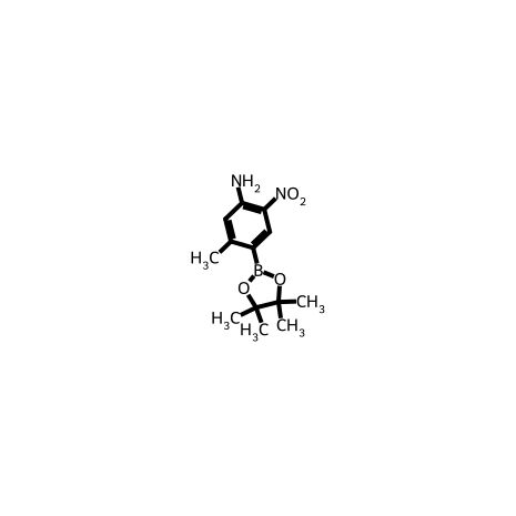 Cc1cc(N)c([N+](=O)[O-])cc1B1OC(C)(C)C(C)(C)O1